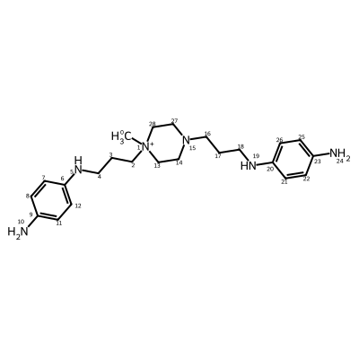 C[N+]1(CCCNc2ccc(N)cc2)CCN(CCCNc2ccc(N)cc2)CC1